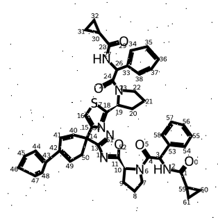 O=C(NC(C(=O)N1CCC[C@H]1c1nc(C2(c3csc([C@@H]4CCCN4C(=O)C(NC(=O)C4CC4)c4ccccc4)n3)C=CC(c3ccccc3)=CC2)no1)c1ccccc1)C1CC1